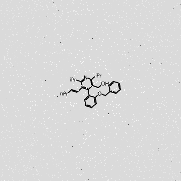 CCC/C=C/c1c(C(C)C)nc(C(C)C)c(CO)c1-c1ccccc1OCc1ccccc1